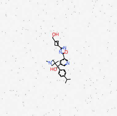 CC(C)c1ccc([C@](O)(c2cncc(-c3nc(C45CC(CO)(C4)C5)no3)c2)C2(C)CN(C)C2)cc1